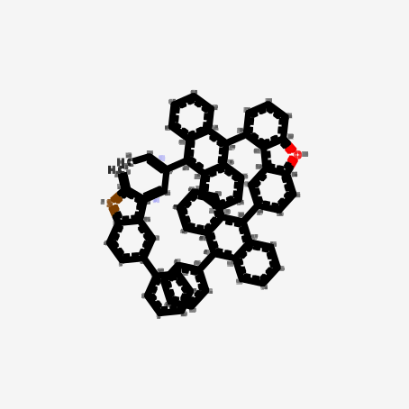 C=c1sc2ccc(-c3ccccc3)cc2/c1=C/C(=C\C)c1c2ccccc2c(-c2cccc3oc4ccc(-c5c6ccccc6c(-c6ccccc6)c6ccccc56)cc4c23)c2ccccc12